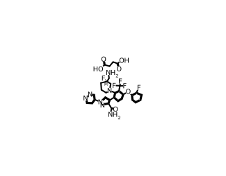 NC[C@]1(F)CCCN(c2c(-c3cn(-c4ccnnc4)nc3C(N)=O)ccc(Oc3ccccc3F)c2C(F)(F)F)C1.O=C(O)CCC(=O)O